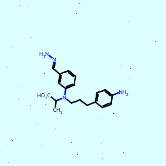 CC(C(=O)O)N(CCCc1ccc(N)cc1)c1cccc(C=NN)c1